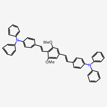 COc1cc(C=Cc2ccc(N(c3ccccc3)c3ccccc3)cc2)cc(OC)c1C=Cc1ccc(N(c2ccccc2)c2ccccc2)cc1